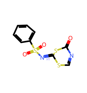 O=c1ncs/c(=N/S(=O)(=O)c2ccccc2)s1